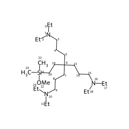 CCN(CC)CCCC(CCCN(CC)CC)(CCCN(CC)CC)CC[Si](C)(C)OC